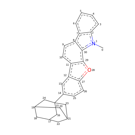 Cn1c2ccccc2c2ccc3c4cc(C56CC7CC(CC(C7)C5)C6)ccc4oc3c21